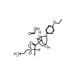 CCOc1ccc(N2C[C@H]3CN(C(=O)C(F)(F)S(=O)(=O)CCN)C[C@@H]2C(C)(C)C3)cc1.O=CO